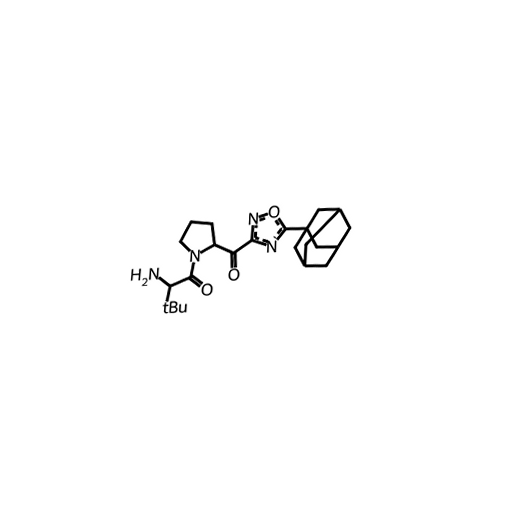 CC(C)(C)C(N)C(=O)N1CCCC1C(=O)c1noc(C23CC4CC(CC(C4)C2)C3)n1